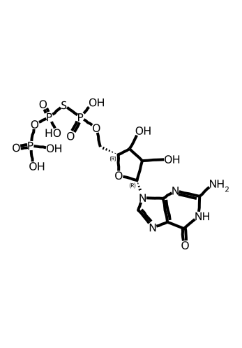 Nc1nc2c(ncn2[C@@H]2O[C@H](COP(=O)(O)SP(=O)(O)OP(=O)(O)O)C(O)C2O)c(=O)[nH]1